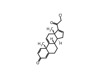 C[C@]12C=CC(=O)C=C1CC[C@@H]1C2=CC[C@]2(C)C(C(=O)CCl)=CC[C@@H]12